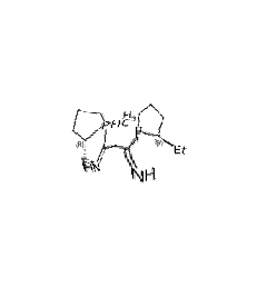 CC[C@@H]1CCCP1C(=N)C(=N)[PH]1(C)CCC[C@H]1CC